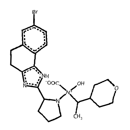 CC(C1CCOCC1)[N+](O)(C(=O)[O-])N1CCCC1c1nc2c([nH]1)-c1ccc(Br)cc1CC2